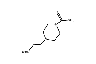 COCCN1CCN(C(N)=O)CC1